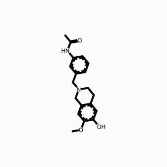 COc1cc2c(cc1O)CCN(Cc1cccc(NC(C)=O)c1)C2